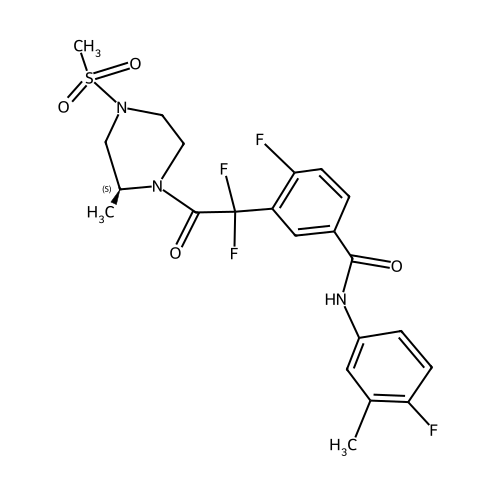 Cc1cc(NC(=O)c2ccc(F)c(C(F)(F)C(=O)N3CCN(S(C)(=O)=O)C[C@@H]3C)c2)ccc1F